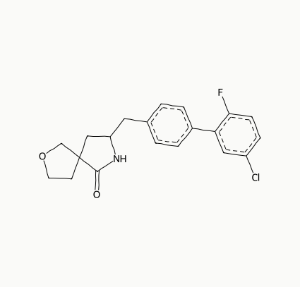 O=C1NC(Cc2ccc(-c3cc(Cl)ccc3F)cc2)CC12CCOC2